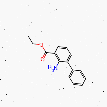 CCOC(=O)c1cccc(-c2ccccc2)c1N